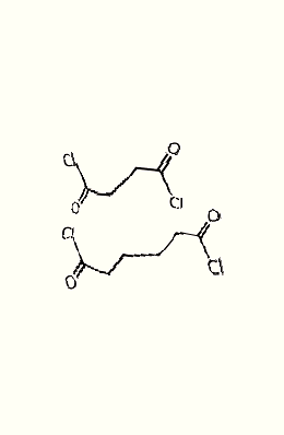 O=C(Cl)CCC(=O)Cl.O=C(Cl)CCCCC(=O)Cl